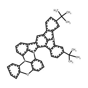 CC(C)(C)c1ccc2c3cc4c5cccc6c5n(c4c4c5ccc(C(C)(C)C)cc5n(c2c1)c34)-c1cccc2c1B6c1ccccc1O2